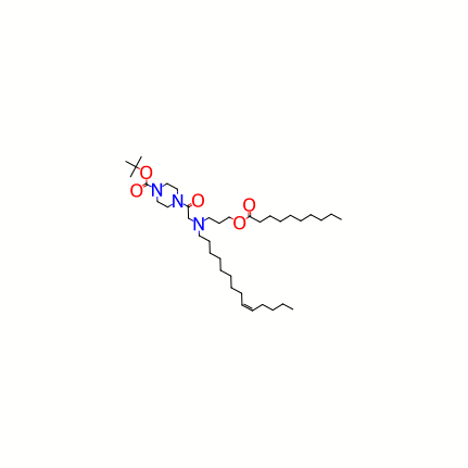 CCCC/C=C\CCCCCCCCN(CCCOC(=O)CCCCCCCCC)CC(=O)N1CCN(C(=O)OC(C)(C)C)CC1